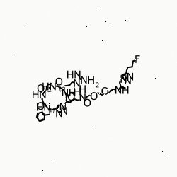 C=C(Cn1cc(CCCF)nn1)NCCOCCOCC(=O)NCCCC1C(=O)N[C@@H](CCCNC(=N)N)C(=O)NCC(=O)NCC(=O)N[C@@H](Cc2ccccc2)c2cn1nn2